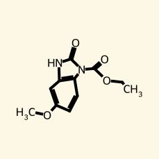 CCOC(=O)n1c(=O)[nH]c2cc(OC)ccc21